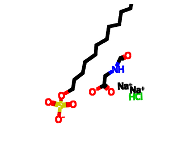 CCCCCCCCCCCCOS(=O)(=O)[O-].Cl.O=CNCC(=O)[O-].[Na+].[Na+]